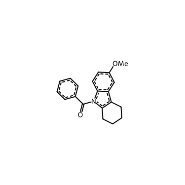 COc1ccc2c(c1)c1c(n2C(=O)c2ccccc2)CCCC1